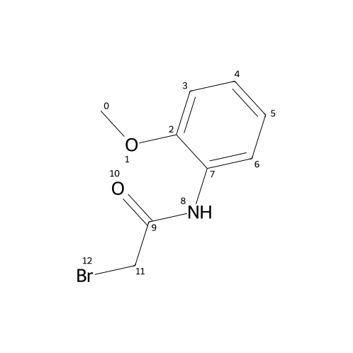 COc1ccccc1NC(=O)CBr